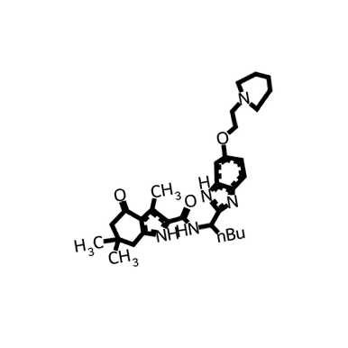 CCCCC(NC(=O)c1[nH]c2c(c1C)C(=O)CC(C)(C)C2)c1nc2ccc(OCCN3CCCCC3)cc2[nH]1